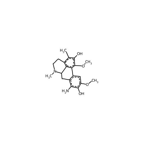 COc1cc2c(c(N)c1O)CC1c3c(c(C)c(O)c(OC)c3-2)CCN1C